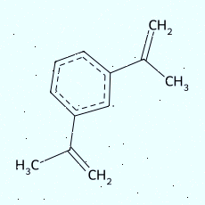 C=C(C)c1[c]c(C(=C)C)ccc1